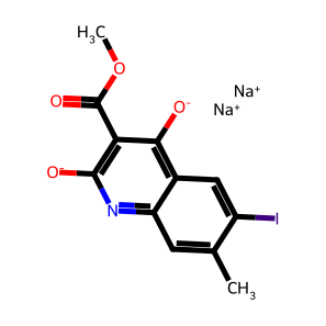 COC(=O)c1c([O-])nc2cc(C)c(I)cc2c1[O-].[Na+].[Na+]